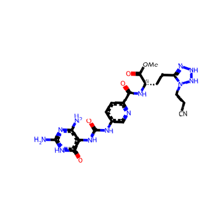 COC(=O)[C@H](CCC1=NNNN1CCC#N)NC(=O)c1ccc(NC(=O)Nc2c(N)nc(N)[nH]c2=O)cn1